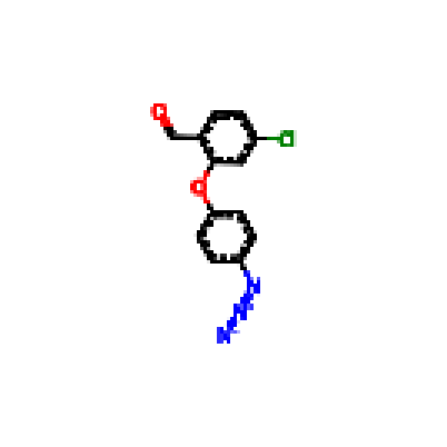 [N-]=[N+]=Nc1ccc(Oc2cc(Cl)ccc2C=O)cc1